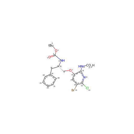 CC(C)(C)OC(=O)N[C@H](COc1cc(Br)c(Cl)nc1NC(=O)O)Cc1ccccc1